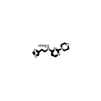 CCCCCCCN(CCc1cs[c]n1)c1ccnc(N2CCOCC2)n1